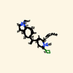 C=C(c1cc(Cl)nc(SC)c1)c1ccc2c(ccn2C)c1